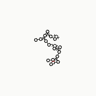 CC1(C)CCC(C)(C)c2c(-c3ccc(-n4c5ccccc5c5ccc(N(c6ccc(-c7ccccc7)cc6)c6ccc(-c7cccc(CC8(C)CCC(C)(C)c9c(-n%10c%11ccccc%11c%11ccc(-c%12ccc(N(c%13ccc(-c%14ccccc%14)cc%13)c%13ccccc%13-c%13ccc%14ccccc%14c%13)cc%12)cc%11%10)cccc98)c7)cc6)cc54)cc3)cccc21